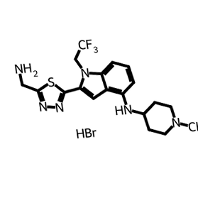 Br.CN1CCC(Nc2cccc3c2cc(-c2nnc(CN)s2)n3CC(F)(F)F)CC1